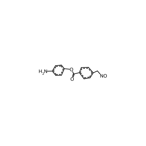 Nc1ccc(OC(=O)c2ccc(CN=O)cc2)cc1